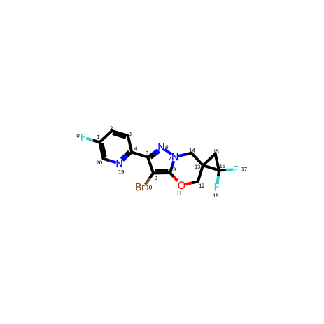 Fc1ccc(-c2nn3c(c2Br)OCC2(C3)CC2(F)F)nc1